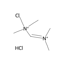 C[N+](C)=C[N+](C)(C)Cl.Cl